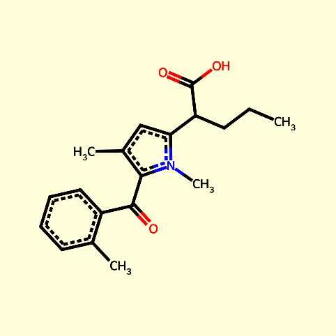 CCCC(C(=O)O)c1cc(C)c(C(=O)c2ccccc2C)n1C